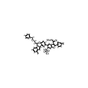 CCS(=O)(=O)Nc1cc2oc(-c3ccc(F)cc3)c(C(=O)NC)c2cc1-c1ccc2c(n1)-c1cc3c(F)cccc3n1C(CCOCc1ccccc1)O2